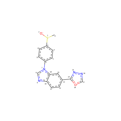 C[S+]([O-])c1ccc(-n2cnc3ccc(-c4nnco4)cc32)cc1